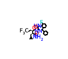 NC(=O)[C@@H](CC1CC1)[C@@H](CCC(F)(F)F)C(=O)N[C@H]1N=C(c2ccccc2)c2cccc(F)c2NC1=O